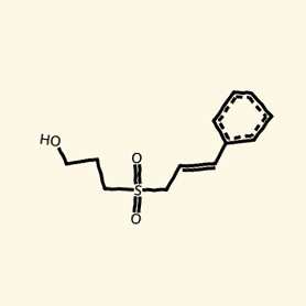 O=S(=O)(C/C=C/c1ccccc1)CCCO